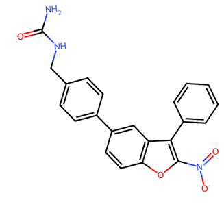 NC(=O)NCc1ccc(-c2ccc3oc([N+](=O)[O-])c(-c4ccccc4)c3c2)cc1